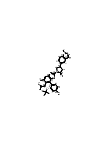 CC(=O)[C@@H](OC(C)(C)C)c1c(C)cc2nc(N3CC(c4ccc5c(cnn5C)c4)CC3=O)sc2c1-c1ccc(Cl)cc1